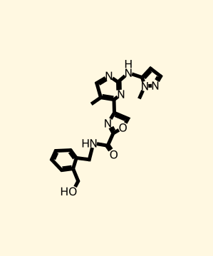 Cc1cnc(Nc2ccnn2C)nc1-c1coc(C(=O)NCc2ccccc2CO)n1